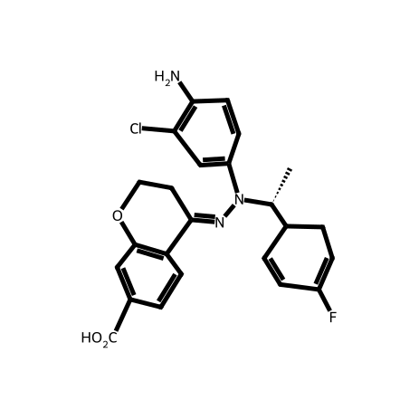 C[C@H](C1C=CC(F)=CC1)N(/N=C1\CCOc2cc(C(=O)O)ccc21)c1ccc(N)c(Cl)c1